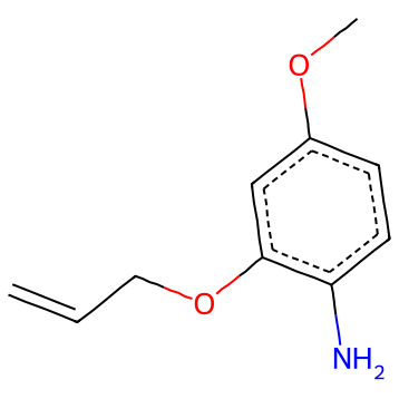 C=CCOc1cc(OC)ccc1N